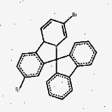 BrC1=CC2C(C=C1)c1ccc(Br)cc1C21c2ccccc2-c2ccccc21